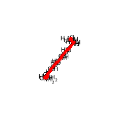 N=C(NCCCCCCCC(=O)NCCOCCOCCNC(=O)NCCCCNC(=O)NCCOCCOCCNC(=O)CCCCCCCC(=O)C1NC(Cl)C(N)NC1NN)NC(=O)C1NC(Cl)C(N)NC1N